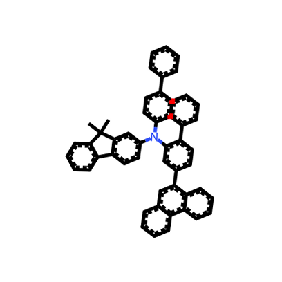 CC1(C)c2ccccc2-c2ccc(N(c3ccc(-c4ccccc4)cc3)c3cc(-c4cc5ccccc5c5ccccc45)ccc3-c3ccccc3)cc21